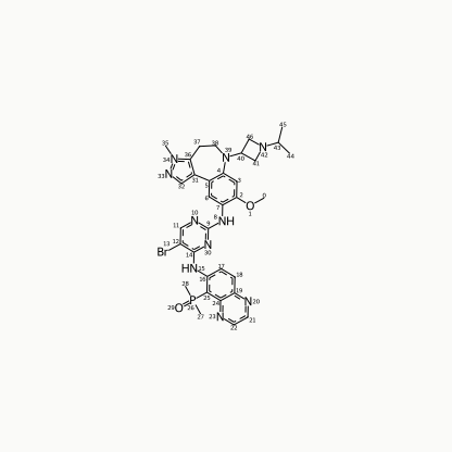 COc1cc2c(cc1Nc1ncc(Br)c(Nc3ccc4nccnc4c3P(C)(C)=O)n1)-c1cnn(C)c1CCN2C1CN(C(C)C)C1